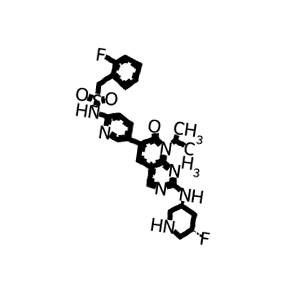 CC(C)n1c(=O)c(-c2ccc(NS(=O)(=O)Cc3ccccc3F)nc2)cc2cnc(N[C@@H]3CNC[C@@H](F)C3)nc21